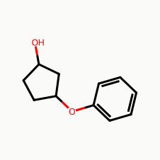 OC1CCC(Oc2ccccc2)C1